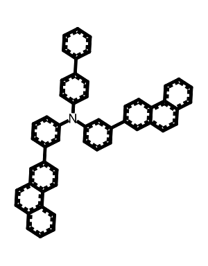 c1ccc(-c2ccc(N(c3cccc(-c4ccc5c(ccc6ccccc65)c4)c3)c3cccc(-c4ccc5c(ccc6ccccc65)c4)c3)cc2)cc1